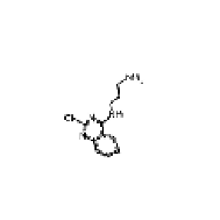 NCCCNc1nc(Cl)nc2ccccc12